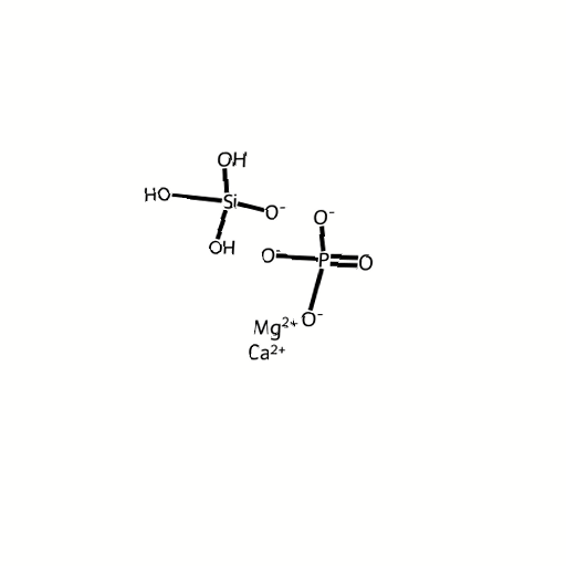 O=P([O-])([O-])[O-].[Ca+2].[Mg+2].[O-][Si](O)(O)O